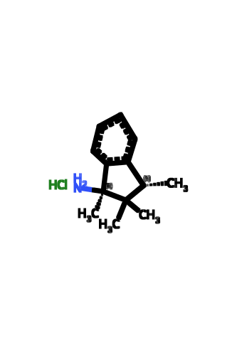 C[C@H]1c2ccccc2[C@](C)(N)C1(C)C.Cl